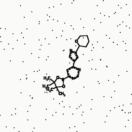 CC1(C)OB(c2ccnc(-c3cnn(C4CCCCO4)c3)c2)OC1(C)C